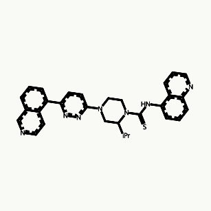 CC(C)C1CN(c2ccc(-c3cccc4cnccc34)nn2)CCN1C(=S)Nc1cccc2ncccc12